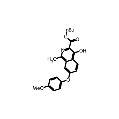 CCCCOC(=O)c1nc(C)c2cc(Oc3ccc(OC)cc3)ccc2c1O